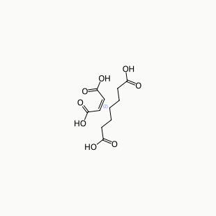 O=C(O)/C=C\C(=O)O.O=C(O)CCCCCC(=O)O